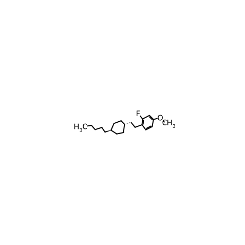 CCCCC[C@H]1CC[C@H](CCc2ccc(OC)cc2F)CC1